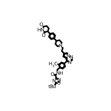 Cc1cc(-c2ncnn3cc(CCN4CCC(c5ccc(C6CCC(=O)NC6=O)cc5)CC4)cc23)ccc1CNC(=O)c1noc(C(C)(C)C)n1